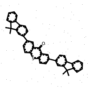 CC1(C)c2ccccc2-c2ccc(-c3ccc4sc5ccc(-c6ccc7c(c6)C(C)(C)c6ccccc6-7)cc5c(=O)c4c3)cc21